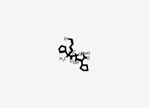 CC/C=C\C=CC(C)(C(=O)C(C)(O)C(O)=C(C(=O)OC)C1CCCC1)C1=CCCC1